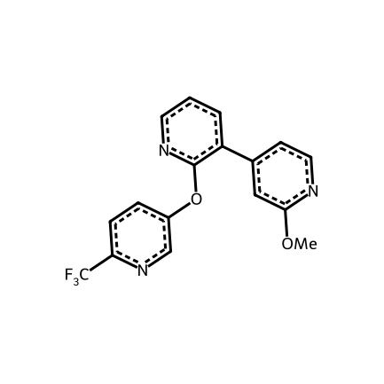 COc1cc(-c2cccnc2Oc2ccc(C(F)(F)F)nc2)ccn1